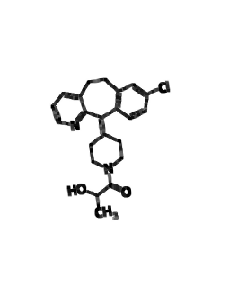 CC(O)C(=O)N1CCC(=C2c3ccc(Cl)cc3CCc3cccnc32)CC1